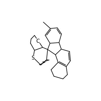 CC1=CC2C(C=C1)C1C=CC3=C(CCCC3)C1C21C2CCCCC2SC2CCCCC21